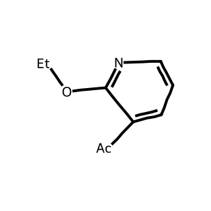 CCOc1ncccc1C(C)=O